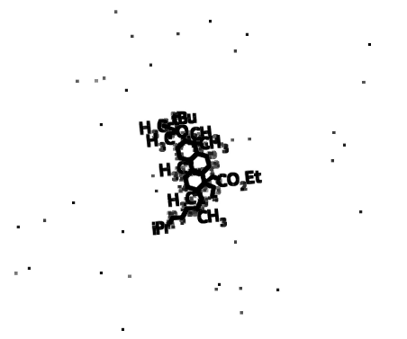 CCOC(=O)C[C@@]12CC[C@H]([C@H](C)CCCC(C)C)[C@@]1(C)CCC1=C2CCC2C(C)(C)[C@@H](O[Si](C)(C)C(C)(C)C)CC[C@]12C